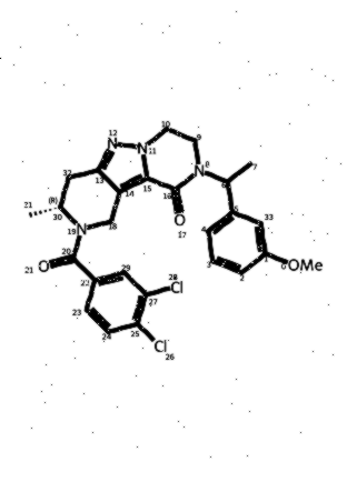 COc1cccc(C(C)N2CCn3nc4c(c3C2=O)CN(C(=O)c2ccc(Cl)c(Cl)c2)[C@H](C)C4)c1